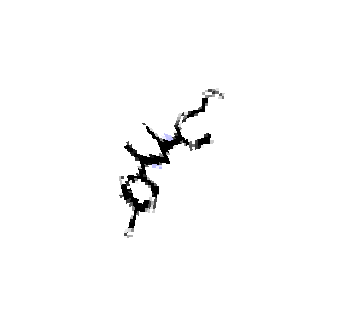 C=N/C(OCC(F)(F)F)=C(F)\C=C(/C)c1cnc(Cl)cn1